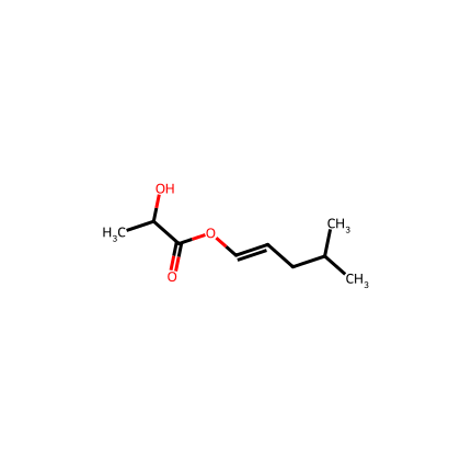 CC(C)CC=COC(=O)C(C)O